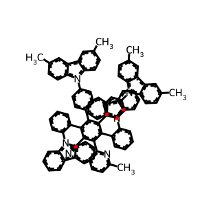 Cc1ccc2c(c1)c1cc(C)ccc1n2-c1ccc(-c2c(-c3ccccc3-n3c4ccccc4c4ccccc43)c(C#N)c(-c3cccc(C)n3)c(-c3ccccc3-n3c4ccccc4c4ccccc43)c2-c2ccc(-n3c4ccc(C)cc4c4cc(C)ccc43)cc2)cc1